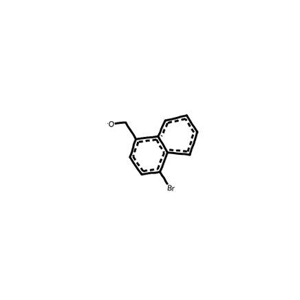 [O]Cc1ccc(Br)c2ccccc12